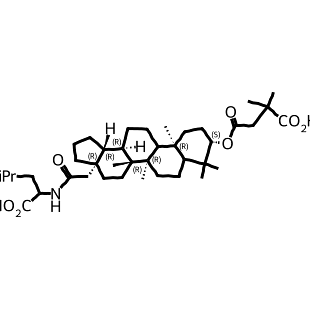 CC(C)CC(NC(=O)C[C@]12CCC[C@@H]1[C@H]1CCC3[C@@]4(C)CC[C@H](OC(=O)CC(C)(C)C(=O)O)C(C)(C)C4CC[C@@]3(C)[C@]1(C)CC2)C(=O)O